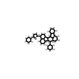 c1ccc(-c2ccc(-c3ccc4c5c3cccc5c3c(-c5ccccc5)c5cccc6c7ccccc7c(c56)c43)s2)cc1